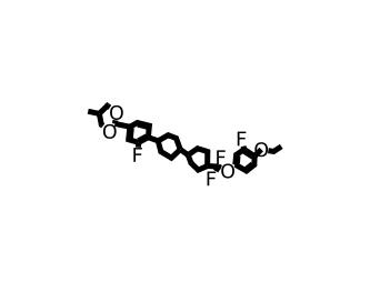 CCOc1ccc(OC(F)(F)C2CCC(C3CCC(c4ccc(C5OCC(C)CO5)cc4F)CC3)CC2)cc1F